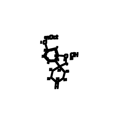 CCCCCCCCOc1ccc2c(c1)OCC21CCNCC1.Cl